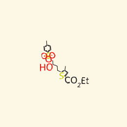 CCOC(=O)c1cc(C)c(CC[C@@H](O)COS(=O)(=O)c2ccc(C)cc2)s1